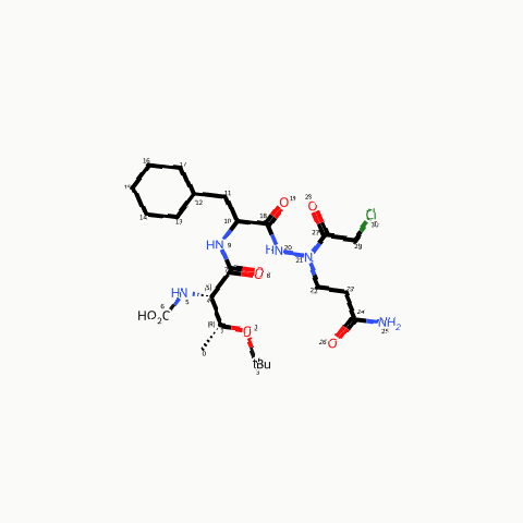 C[C@@H](OC(C)(C)C)[C@H](NC(=O)O)C(=O)NC(CC1CCCCC1)C(=O)NN(CCC(N)=O)C(=O)CCl